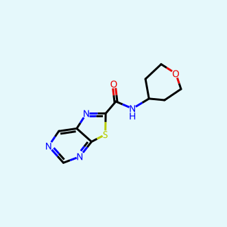 O=C(NC1CCOCC1)c1nc2cncnc2s1